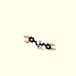 CN(CCc1ccc(O)c(O)c1)C(=O)/C=C/c1ccc(O)c(O)c1